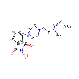 CCN(/C=C\C(C)(C)C)CCN1CCN(c2cccc3c2C(=O)N(O)C3=O)CC1